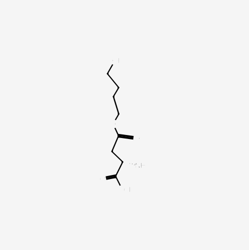 N[C@@H](CC(=O)OCCCCO)C(=O)O